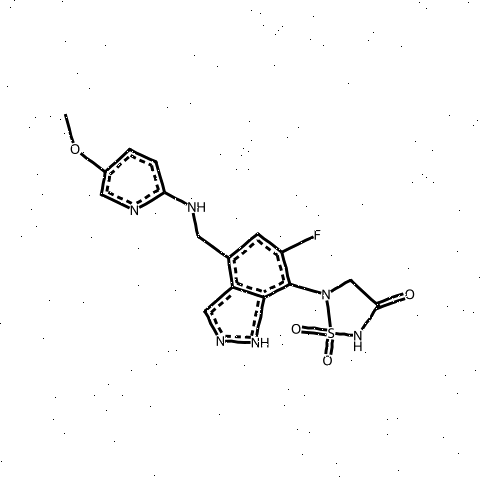 COc1ccc(NCc2cc(F)c(N3CC(=O)NS3(=O)=O)c3[nH]ncc23)nc1